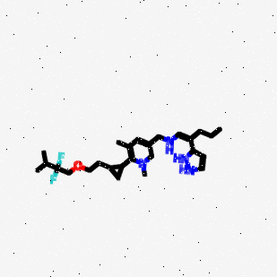 CCC/C(=C/NCC1=CC(C)=C(C2CC2CCOCC(F)(F)C(C)C)N(C)C1)C1C=CNN1